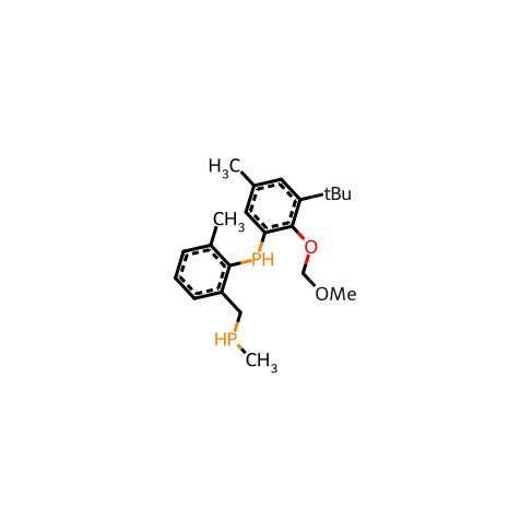 COCOc1c(Pc2c(C)cccc2CPC)cc(C)cc1C(C)(C)C